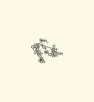 Cc1ncsc1-c1ccc([C@H](C)NC(=O)[C@@H]2C[C@@H](O)CN2C(=O)[C@@H](NC(=O)CCCCCc2cc(OC[C@H](CCC(N)=O)NC(=O)[C@@H]3Cc4cccc5c4N3C(=O)[C@@H](NC(=O)c3cc4cc(C6(C)OOP6(=O)O)ccc4[nH]3)CC5)ccc2F)C(C)(C)C)cc1